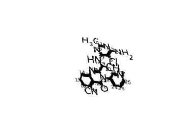 Cc1nc(N)c(Cl)c(N[C@@H](C)c2nc3cccc(C#N)c3c(=O)n2-c2cccnc2)n1